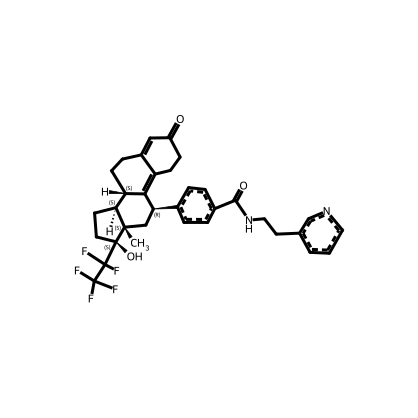 C[C@]12C[C@H](c3ccc(C(=O)NCCc4cccnc4)cc3)C3=C4CCC(=O)C=C4CC[C@H]3[C@@H]1CC[C@@]2(O)C(F)(F)C(F)(F)F